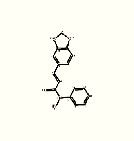 CC(C)N(C(=O)/C=C/c1ccc2c(c1)OCO2)c1ccccc1